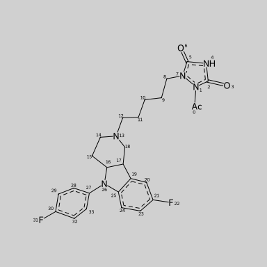 CC(=O)n1c(=O)[nH]c(=O)n1CCCCCN1CCC2C(C1)c1cc(F)ccc1N2c1ccc(F)cc1